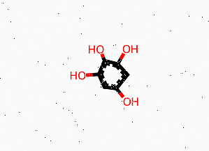 Oc1[c]c(O)c(O)c(O)c1